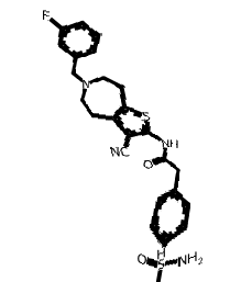 C[SH](N)(=O)c1ccc(CC(=O)Nc2sc3c(c2C#N)CCN(Cc2cccc(F)c2)CC3)cc1